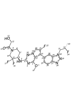 COc1nc(N[C@@H]2CCN(C(=O)CO)CC2(F)F)nn2cc(F)c(-c3ccc4nnn(C[C@H](C)F)c4c3)c12